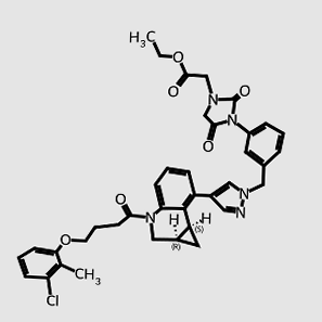 CCOC(=O)CN1CC(=O)N(c2cccc(Cn3cc(-c4cccc5c4[C@H]4C[C@H]4CN5C(=O)CCCOc4cccc(Cl)c4C)cn3)c2)C1=O